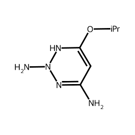 CC(C)OC1=CC(N)=NN(N)N1